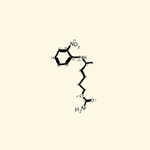 CC(CCCCOC(N)=O)Nc1ccccc1[N+](=O)[O-]